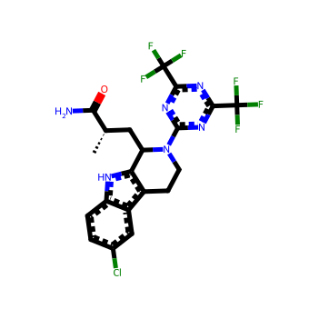 C[C@@H](CC1c2[nH]c3ccc(Cl)cc3c2CCN1c1nc(C(F)(F)F)nc(C(F)(F)F)n1)C(N)=O